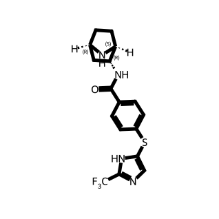 O=C(N[C@@H]1C[C@H]2CC[C@@H]1N2)c1ccc(Sc2cnc(C(F)(F)F)[nH]2)cc1